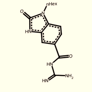 CCCCCCn1c(=O)[nH]c2cc(C(=O)NC(=N)N)ccc21